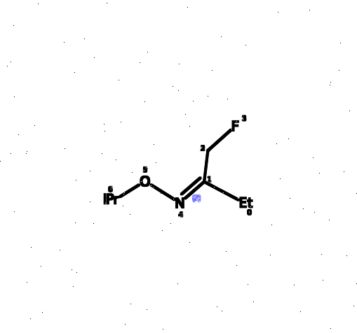 CC/C(CF)=N/OC(C)C